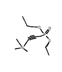 CCOP(=O)(C#C[Si](C)(C)C)OCC